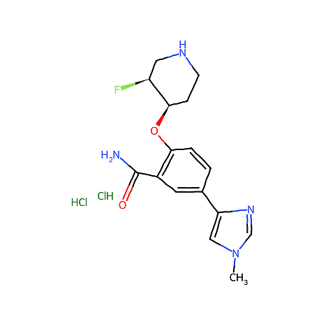 Cl.Cl.Cn1cnc(-c2ccc(O[C@@H]3CCNC[C@@H]3F)c(C(N)=O)c2)c1